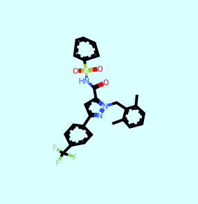 Cc1cccc(C)c1Cn1nc(-c2ccc(C(F)(F)F)cc2)cc1C(=O)NS(=O)(=O)c1ccccc1